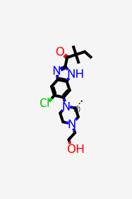 CCC(C)(C)C(=O)c1nc2cc(Cl)c(N3CCN(CCO)C[C@H]3C)cc2[nH]1